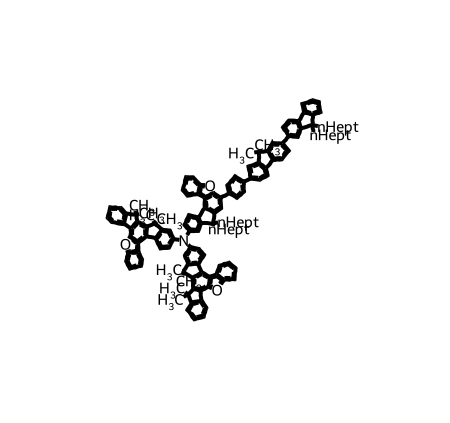 CCCCCCCC1(CCCCCCC)c2ccccc2-c2ccc(-c3ccc4c(c3)C(C)(C)c3cc(-c5ccc(-c6cc7c(c8c6oc6ccccc68)-c6ccc(N(c8ccc9c(c8)C(C)(C)c8c%10c(c%11oc%12ccccc%12c%11c8-9)-c8ccccc8C%10(C)C)c8ccc9c(c8)C(C)(C)c8c%10c(c%11oc%12ccccc%12c%11c8-9)-c8ccccc8C%10(C)C)cc6C7(CCCCCCC)CCCCCCC)cc5)ccc3-4)cc21